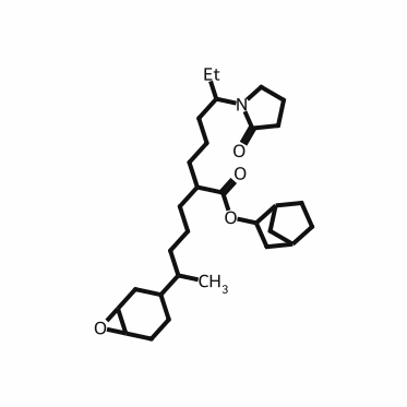 CCC(CCCC(CCCC(C)C1CCC2OC2C1)C(=O)OC1CC2CCC1C2)N1CCCC1=O